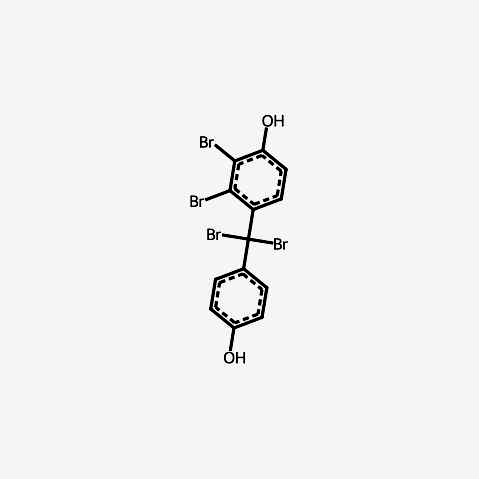 Oc1ccc(C(Br)(Br)c2ccc(O)c(Br)c2Br)cc1